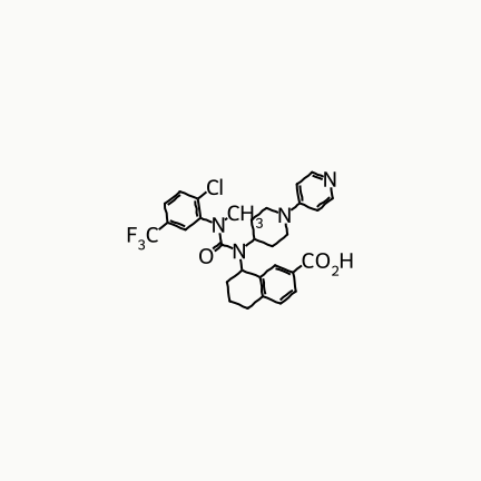 CN(C(=O)N(C1CCN(c2ccncc2)CC1)C1CCCc2ccc(C(=O)O)cc21)c1cc(C(F)(F)F)ccc1Cl